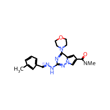 CNC(=O)c1cc2c(N3CCOCC3)nc(N/N=C/c3cccc(C)c3)nn2c1